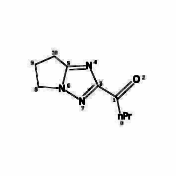 CCCC(=O)c1nc2n(n1)CCC2